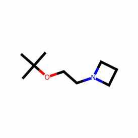 CC(C)(C)OCCN1CCC1